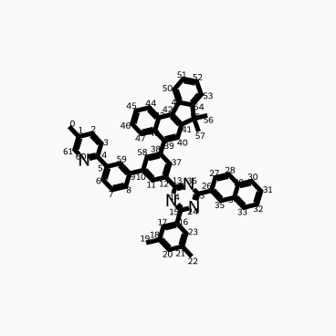 Cc1ccc(-c2cccc(-c3cc(-c4nc(-c5cc(C)cc(C)c5)nc(-c5ccc6ccccc6c5)n4)cc(-c4cc5c(c6ccccc46)-c4ccccc4C5(C)C)c3)c2)nc1